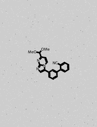 COC(OC)c1ccn2c(-c3cccc(-c4ccccc4C#N)c3)cnc2n1